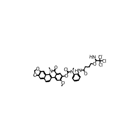 COc1cc2c(cc1OC(=O)N(C)c1ccccc1NC(=O)CCCOC(=N)C(Cl)(Cl)Cl)c(=O)n(C)c1c3cc4c(cc3ccc21)OCO4